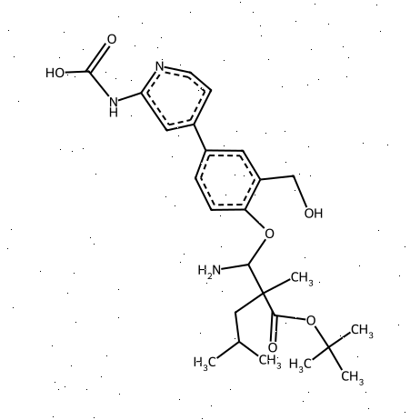 CC(C)CC(C)(C(=O)OC(C)(C)C)C(N)Oc1ccc(-c2ccnc(NC(=O)O)c2)cc1CO